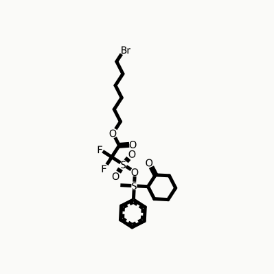 CS(OS(=O)(=O)C(F)(F)C(=O)OCCCCCCBr)(c1ccccc1)C1CCCCC1=O